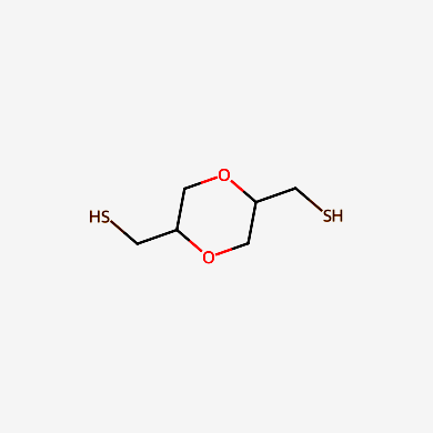 SCC1COC(CS)CO1